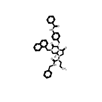 CCCN(C(=O)NCc1ccccc1)N1CC(=O)N2[C@@H](Cc3ccc(NC(=O)c4ccccc4)cc3)C(=O)N(Cc3cccc4ccccc34)C[C@@H]21